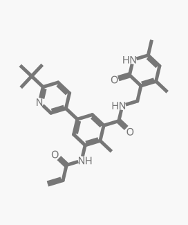 C=CC(=O)Nc1cc(-c2ccc(C(C)(C)C)nc2)cc(C(=O)NCc2c(C)cc(C)[nH]c2=O)c1C